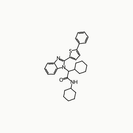 O=C(NC1CCCCC1)C(C1CCCCC1)n1c(-c2ccc(-c3ccccc3)s2)nc2ccccc21